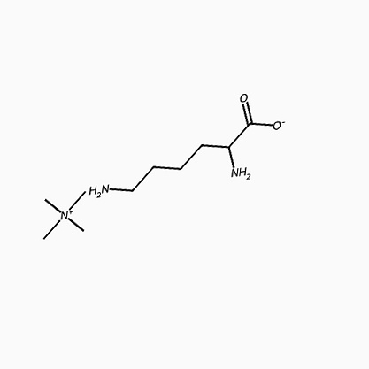 C[N+](C)(C)C.NCCCCC(N)C(=O)[O-]